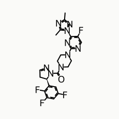 Cc1nc(C)n(-c2nc(N3CCN(C(=O)N4N=CC[C@@H]4c4cc(F)cc(F)c4F)CC3)ncc2F)n1